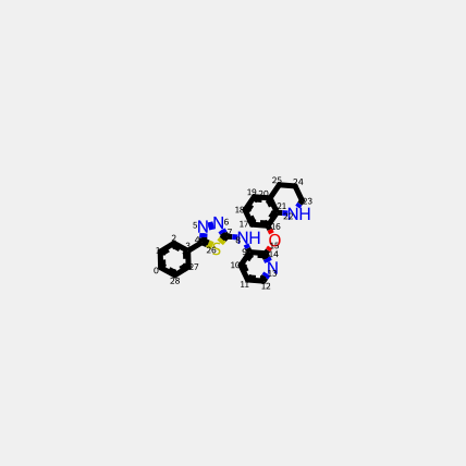 c1ccc(-c2nnc(Nc3cccnc3Oc3cccc4c3NCCC4)s2)cc1